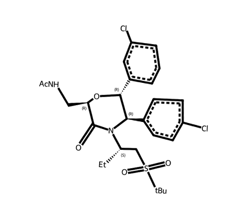 CC[C@@H](CS(=O)(=O)C(C)(C)C)N1C(=O)[C@@H](CNC(C)=O)O[C@H](c2cccc(Cl)c2)[C@H]1c1ccc(Cl)cc1